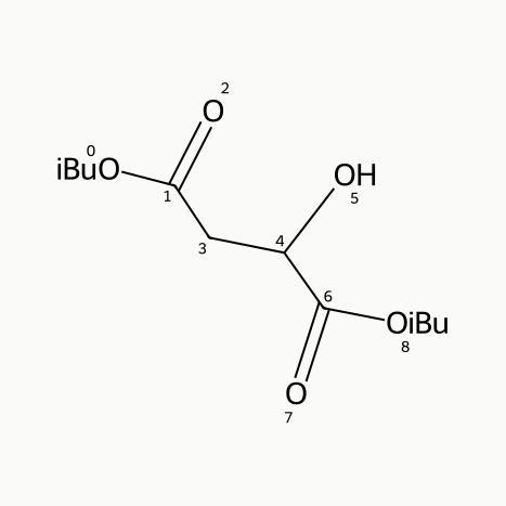 CC(C)COC(=O)CC(O)C(=O)OCC(C)C